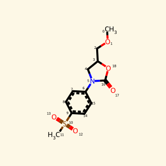 COCC1CN(c2ccc(S(C)(=O)=O)cc2)C(=O)O1